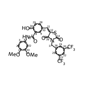 COc1ccc(NC(=O)c2cc(C=C3SC(=O)N(Cc4cc(C(F)(F)F)cc(C(F)(F)F)c4)C3=O)ccc2O)cc1OC